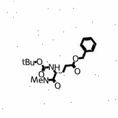 CNC(=O)[C@@H](CCC(=O)OCc1ccccc1)NC(=O)OC(C)(C)C